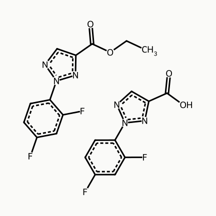 CCOC(=O)c1cnn(-c2ccc(F)cc2F)n1.O=C(O)c1cnn(-c2ccc(F)cc2F)n1